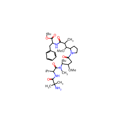 CCC(C)C(C(CC(=O)N1CCCC1C(OC)C(C)C(=O)NC(Cc1ccccc1)C(=O)OC(C)(C)C)OC)N(C)C(=O)C(NC(=O)C(C)(C)N)C(C)C